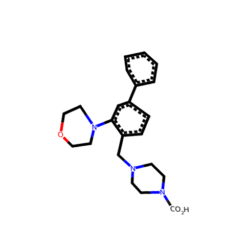 O=C(O)N1CCN(Cc2ccc(-c3ccccc3)cc2N2CCOCC2)CC1